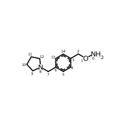 NOCc1ccc(CN2CCCC2)cc1